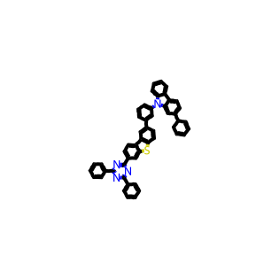 C1=CCC(c2ccc3c4ccccc4n(-c4cccc(-c5ccc6sc7cc(-c8nc(-c9ccccc9)nc(-c9ccccc9)n8)ccc7c6c5)c4)c3c2)C=C1